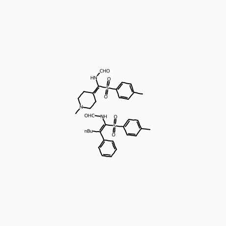 CCCCC(=C(NC=O)S(=O)(=O)c1ccc(C)cc1)c1ccccc1.Cc1ccc(S(=O)(=O)C(NC=O)=C2CCN(C)CC2)cc1